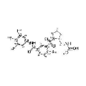 O=C(O)NCC1CCCN1S(=O)(=O)c1cc(C(=O)Nc2cc(F)c(F)c(F)c2)ccc1F